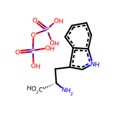 N[C@@H](Cc1c[nH]c2ccccc12)C(=O)O.O=P(O)(O)OP(=O)(O)O